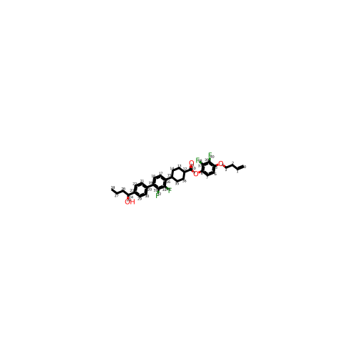 C=CCCOc1ccc(OC(=O)C2CCC(c3ccc(-c4ccc(C(O)CCC)cc4)c(F)c3F)CC2)c(F)c1F